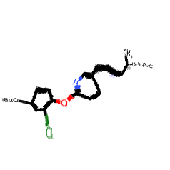 CC(=O)N[C@@H](C)/C=C/c1ccc(Oc2ccc(OCC(C)C)cc2Cl)nc1